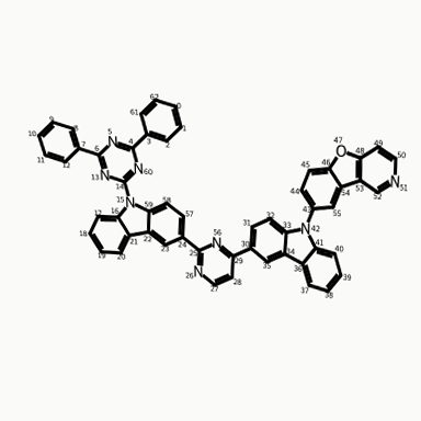 c1ccc(-c2nc(-c3ccccc3)nc(-n3c4ccccc4c4cc(-c5nccc(-c6ccc7c(c6)c6ccccc6n7-c6ccc7oc8ccncc8c7c6)n5)ccc43)n2)cc1